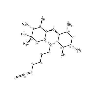 CN[C@@H]1[C@@H](O)[C@@H](O[C@@H]2[C@@H](OCCCCN=[N+]=[N-])[C@H](O)[C@@H](N)C[C@H]2N)OC[C@]1(C)O